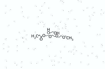 C=CC(=O)OCCOCCOCCOCC.OCCO